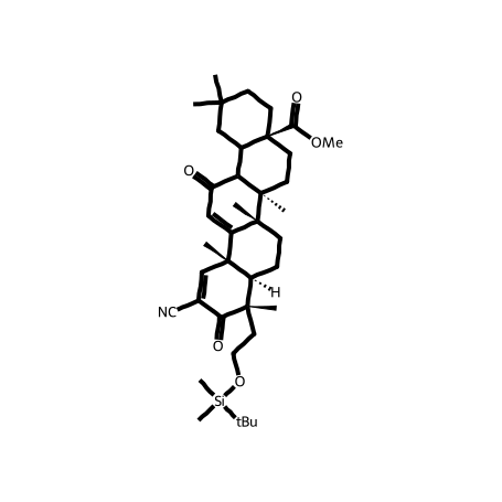 COC(=O)[C@]12CCC(C)(C)CC1C1C(=O)C=C3[C@@]4(C)C=C(C#N)C(=O)[C@@](C)(CCO[Si](C)(C)C(C)(C)C)[C@@H]4CC[C@@]3(C)[C@]1(C)CC2